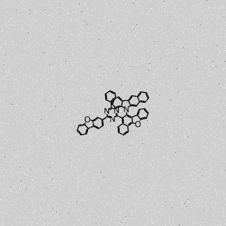 c1ccc(-c2nc(-c3ccc4c(c3)oc3ccccc34)nc(-c3c(-n4c5ccccc5c5cc6ccccc6cc54)c4c5ccccc5oc4c4ccccc34)n2)cc1